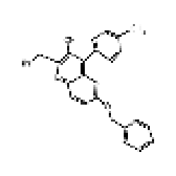 Cc1ccc(-c2c(C#N)c(CC(C)C)nc3ccc(OCc4ccccc4)cc23)cc1